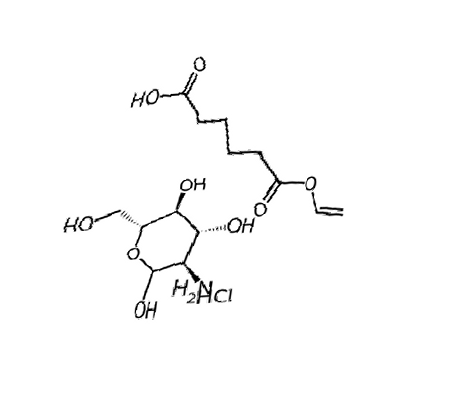 C=COC(=O)CCCCC(=O)O.Cl.N[C@H]1C(O)O[C@H](CO)[C@@H](O)[C@@H]1O